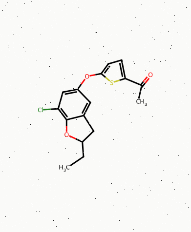 CCC1Cc2cc(Oc3ccc(C(C)=O)s3)cc(Cl)c2O1